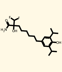 CC(C)c1cc(CCCCCCC(O)(C(N)=O)C(F)F)cc(C(C)C)c1O